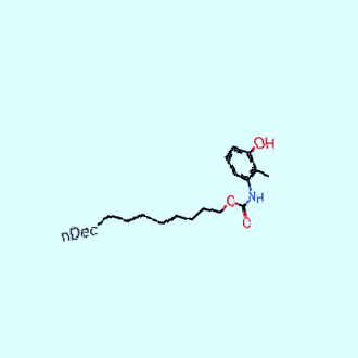 CCCCCCCCCCCCCCCCCCOC(=O)Nc1cccc(O)c1C